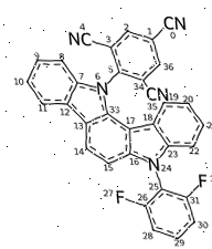 N#Cc1cc(C#N)c(-n2c3ccccc3c3ccc4c(c5ccccc5n4-c4c(F)cccc4F)c32)c(C#N)c1